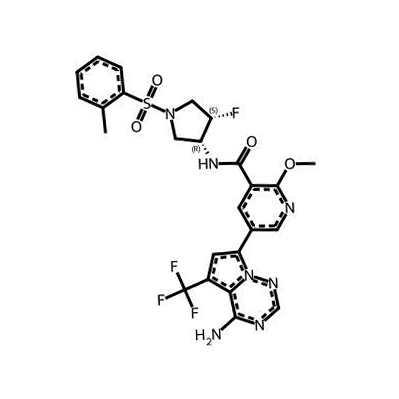 COc1ncc(-c2cc(C(F)(F)F)c3c(N)ncnn23)cc1C(=O)N[C@@H]1CN(S(=O)(=O)c2ccccc2C)C[C@@H]1F